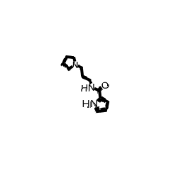 O=C(NCCCN1CCCC1)c1ccc[nH]1